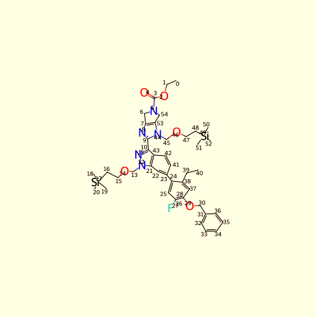 CCOC(=O)N1Cc2nc(-c3nn(COCC[Si](C)(C)C)c4cc(-c5cc(F)c(OCc6ccccc6)cc5CC)ccc34)n(COCC[Si](C)(C)C)c2C1